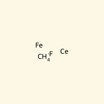 C.[Ce].[F].[Fe]